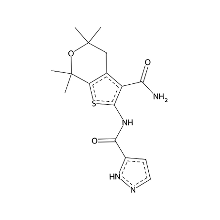 CC1(C)Cc2c(sc(NC(=O)c3ccn[nH]3)c2C(N)=O)C(C)(C)O1